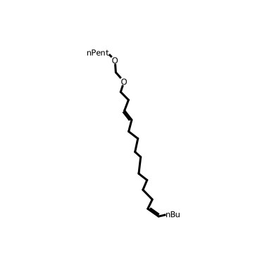 CCCC/C=C\CCCCCCCC/C=C/CCOCOCCCCC